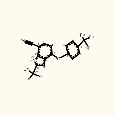 N#Cc1ccc(Oc2ccc(C(F)(F)F)cc2)c2cc(C(F)(F)F)[nH]c12